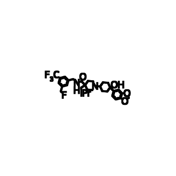 CC(C)CC1(C(=O)NCc2cc(CF)cc(C(F)(F)F)c2)CCN(C2CCC(O)(c3ccc4c(c3)OCO4)CC2)CC1